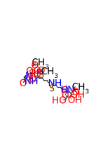 COC[C@H]1O[C@@H](n2ccc(=O)[nH]c2=O)C(C/C=C/CCCCNC(=S)CCCCO[C@@H]2O[C@H](CO)[C@H](O)[C@H](O)[C@H]2NC(C)=O)[C@H]1OP(O)(=S)OC